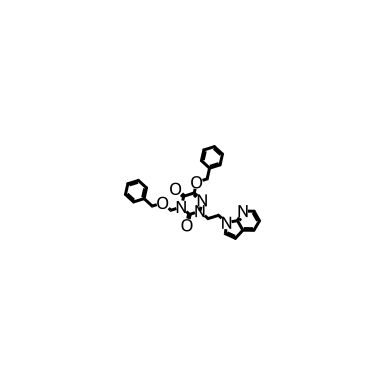 O=c1c(OCc2ccccc2)nn(CCn2ccc3cccnc32)c(=O)n1COCc1ccccc1